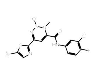 CN1C(C(=O)Nc2ccc(F)c(Cl)c2)=CC(c2ncc(Br)s2)=N[S+]1[O-]